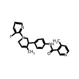 CC1=CCN(c2ncccc2F)CC1c1ccc(NC(=O)c2cnccc2C)cc1